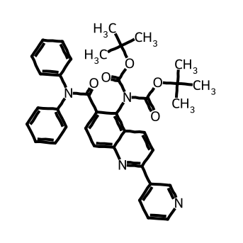 CC(C)(C)OC(=O)N(C(=O)OC(C)(C)C)c1c(C(=O)N(c2ccccc2)c2ccccc2)ccc2nc(-c3cccnc3)ccc12